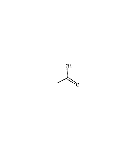 CC(=O)[PH]